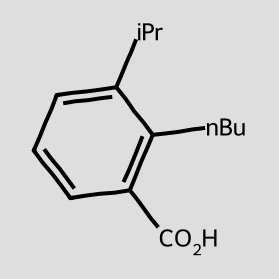 [CH2]CCCc1c(C(=O)O)cccc1C(C)C